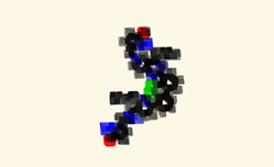 COc1nc(-c2cccc(-c3cccc(-c4nc5c(c(OC)n4)CN(C[C@H]4CCC(=O)N4)CC5)c3Cl)c2Cl)ccc1CNC[C@H]1CCC(=O)N1